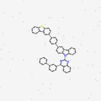 c1ccc(-c2cccc(-c3nc(-n4c5ccccc5c5cc(-c6ccc(-c7ccc8sc9ccccc9c8c7)cc6)ccc54)nc4ccccc34)c2)cc1